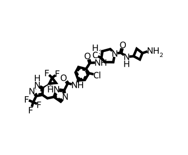 CC1(NC(=O)c2ccc(NC(=O)c3ncc(Cc4c(C(F)(F)F)n[nH]c4[C@@H]4CC4(F)F)[nH]3)cc2Cl)CCN(C(=O)NC2CC(N)C2)CC1